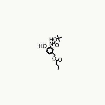 CCCC(=O)OCc1ccc(O)c(NC(=O)OC(C)(C)C)c1